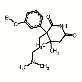 CCOc1cccc(C2(CCCN(C)C)C(=O)NC(=O)CC2(C)C)c1